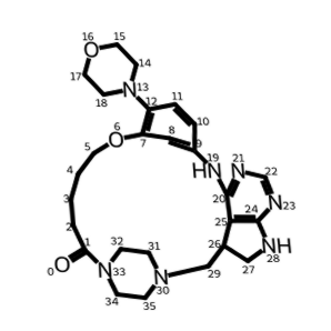 O=C1CCCCOc2cc(ccc2N2CCOCC2)Nc2ncnc3c2C(CN3)CN2CCN1CC2